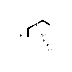 C[CH2][Al+][CH2]C.[Al+3].[H-].[H-].[H-].[H-]